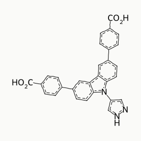 O=C(O)c1ccc(-c2ccc3c(c2)c2cc(-c4ccc(C(=O)O)cc4)ccc2n3-c2cn[nH]c2)cc1